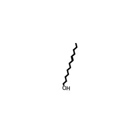 CCCCC=CCCCCCCCO